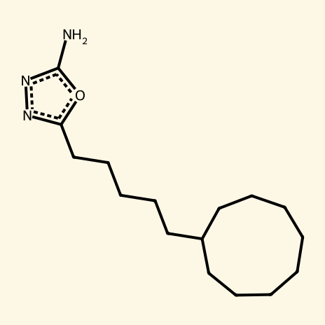 Nc1nnc(CCCCCC2CCCCCCCC2)o1